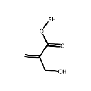 C=C(CO)C(=O)OS